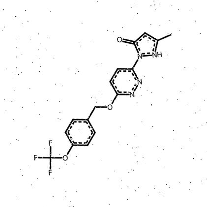 Cc1cc(=O)n(-c2ccc(OCc3ccc(OC(F)(F)F)cc3)nn2)[nH]1